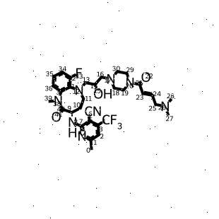 Cc1cc(C(F)(F)F)c(C#N)c(N[C@H]2CCN(C[C@H](O)CN3CCN(C(=O)/C=C/CN(C)C)CC3)c3c(F)cccc3N(C)C2=O)n1